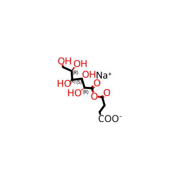 O=C([O-])CCC(=O)OC(=O)[C@H](O)[C@@H](O)[C@H](O)[C@H](O)CO.[Na+]